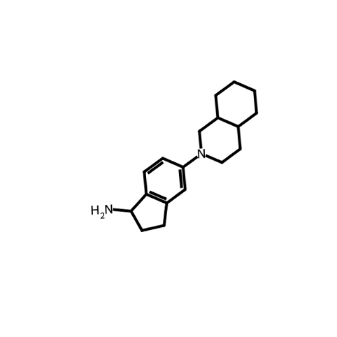 NC1CCc2cc(N3CCC4CCCCC4C3)ccc21